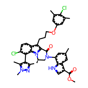 COC(=O)c1c[nH]c2c(N3C[C@@H](C)n4c(c(CCCOc5cc(C)c(Cl)c(C)c5)c5ccc(Cl)c(-c6c(C)nn(C)c6C)c54)C3=O)cc(C)cc12